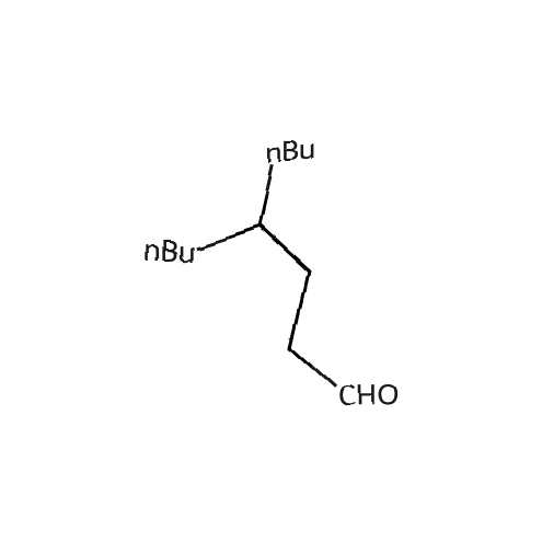 CCCCC(CCC=O)CCCC